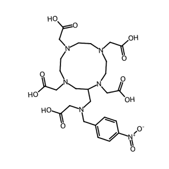 O=C(O)CN1CCN(CC(=O)O)CCN(CC(=O)O)C(CN(CC(=O)O)Cc2ccc([N+](=O)[O-])cc2)CN(CC(=O)O)CC1